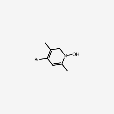 CC1=CC(Br)=C(C)CN1O